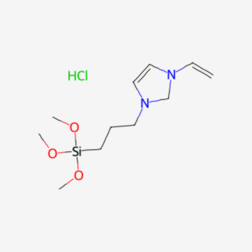 C=CN1C=CN(CCC[Si](OC)(OC)OC)C1.Cl